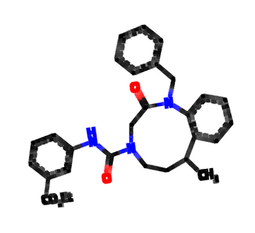 CCOC(=O)c1cccc(NC(=O)N2CCC(C)c3ccccc3N(Cc3ccccc3)C(=O)C2)c1